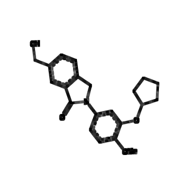 COc1ccc(N2Cc3ccc(CO)cc3C2=O)cc1OC1CCCC1